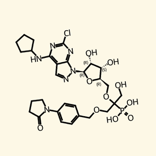 O=C1CCCN1c1ccc(COCC(CO)(OC[C@H]2O[C@@H](n3ncc4c(NC5CCCC5)nc(Cl)nc43)[C@H](O)[C@@H]2O)P(=O)(O)O)cc1